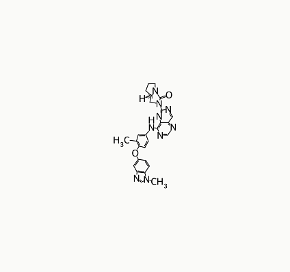 Cc1cc(Nc2ncnc3cnc(N4C[C@@H]5CCCN5C4=O)nc23)ccc1Oc1ccc2c(c1)ncn2C